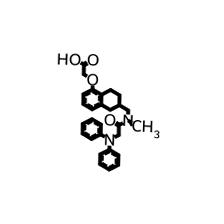 CN(CC1CCc2c(cccc2OCC(=O)O)C1)C(=O)CN(c1ccccc1)c1ccccc1